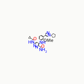 COc1c(Nc2cc(NC(=O)C3CC3)nnc2C(N)=O)cccc1-c1cnn(C2CCCC2)c1